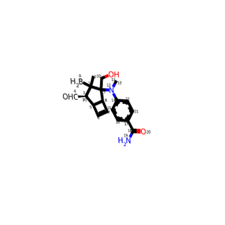 BC1(C)[C@H](C=O)C2C=CC2C1(CO)N(C)c1ccc(C(N)=O)cc1